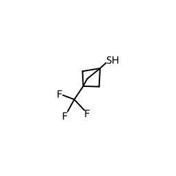 FC(F)(F)C12CC(S)(C1)C2